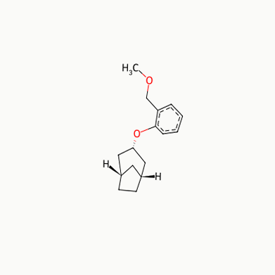 COCc1ccccc1O[C@@H]1C[C@@H]2CC[C@@H](C2)C1